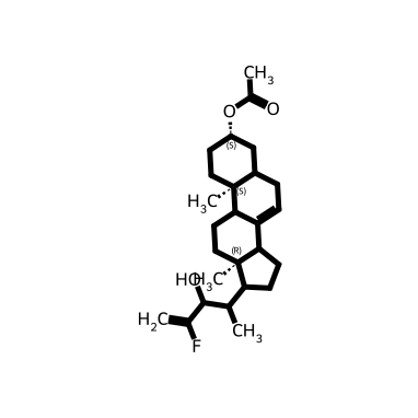 C=C(F)C(O)C(C)C1CCC2C3=CCC4C[C@@H](OC(C)=O)CC[C@]4(C)C3CC[C@@]21C